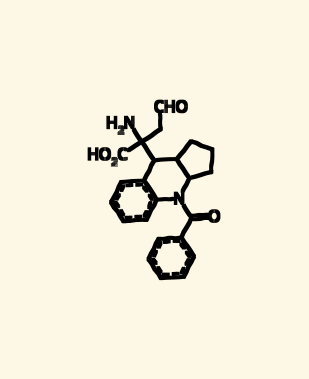 NC(CC=O)(C(=O)O)C1c2ccccc2N(C(=O)c2ccccc2)C2CCCC21